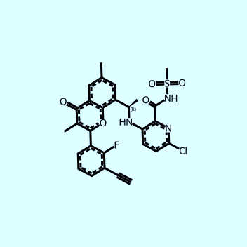 C#Cc1cccc(-c2oc3c([C@@H](C)Nc4ccc(Cl)nc4C(=O)NS(C)(=O)=O)cc(C)cc3c(=O)c2C)c1F